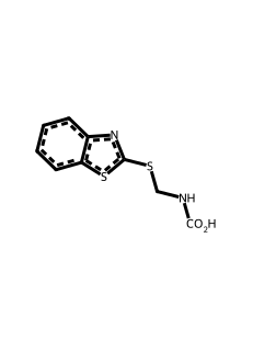 O=C(O)NCSc1nc2ccccc2s1